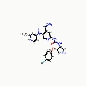 Cc1cc(Nc2cnc(NC(=O)N[C@H]3CNC[C@@H]3Oc3ccc(F)cc3)cc2C=N)ccn1